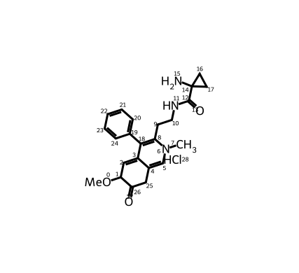 COC1C=C2C(=CN(C)C(CCNC(=O)C3(N)CC3)=C2c2ccccc2)CC1=O.Cl